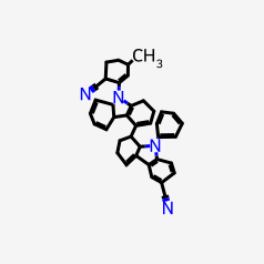 CC1C=C(N2C3=C(C(C4CCC=C5c6cc(C#N)ccc6N(c6ccccc6)C54)=CCC3)C3C=CC=CC32)C(C#N)CC1